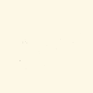 C[C@@H](O)C(N)C(=O)OCc1ccccc1